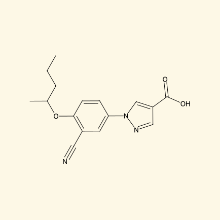 CCCC(C)Oc1ccc(-n2cc(C(=O)O)cn2)cc1C#N